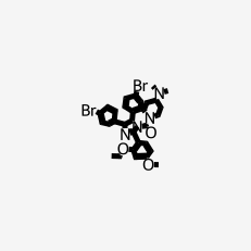 CCOc1cc(OC)ccc1C1=NC(c2ccc(Br)cc2)C(c2ccc(Br)cc2)N1C(=O)N1CCC(N(C)C)CC1